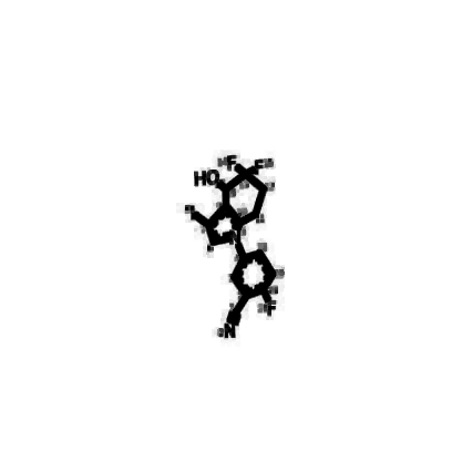 N#Cc1cc(-n2cc(I)c3c2CCC(F)(F)C3O)ccc1F